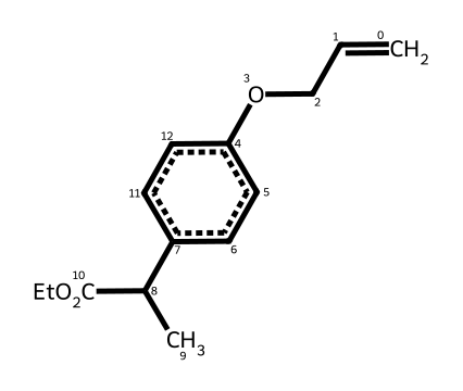 C=CCOc1ccc(C(C)C(=O)OCC)cc1